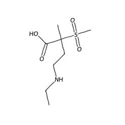 CCNCCC(C)(C(=O)O)S(C)(=O)=O